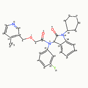 O=C1C(N(C(=O)COCc2cnccc2C(F)(F)F)c2cccc(F)c2)c2ccccc2N1C1CCCCC1